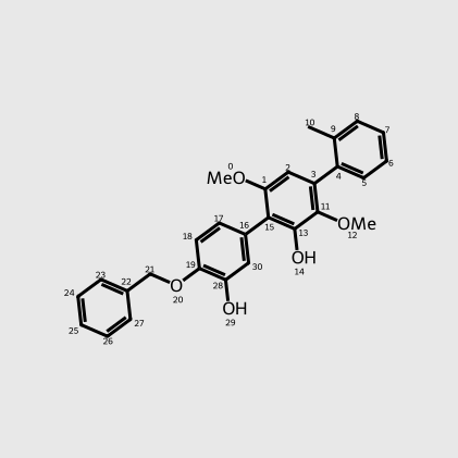 COc1cc(-c2ccccc2C)c(OC)c(O)c1-c1ccc(OCc2ccccc2)c(O)c1